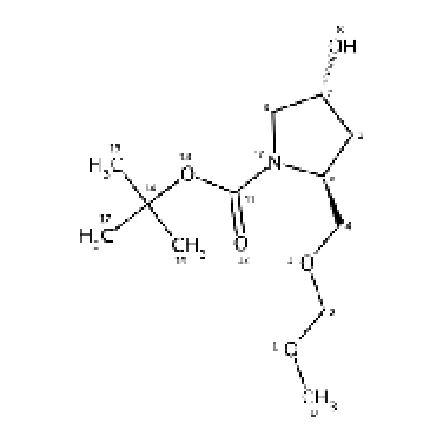 COCOC[C@@H]1C[C@@H](O)CN1C(=O)OC(C)(C)C